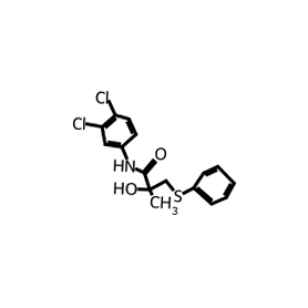 CC(O)(CSc1ccccc1)C(=O)Nc1ccc(Cl)c(Cl)c1